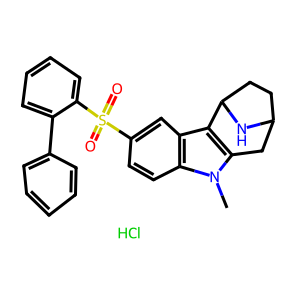 Cl.Cn1c2c(c3cc(S(=O)(=O)c4ccccc4-c4ccccc4)ccc31)C1CCC(C2)N1